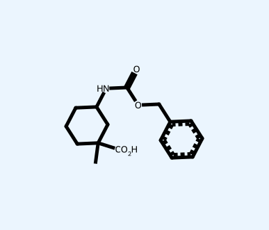 CC1(C(=O)O)CCCC(NC(=O)OCc2ccccc2)C1